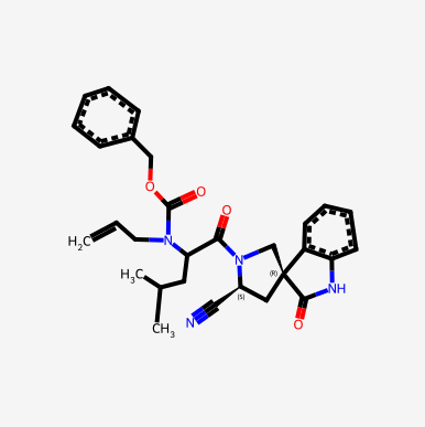 C=CCN(C(=O)OCc1ccccc1)C(CC(C)C)C(=O)N1C[C@]2(C[C@H]1C#N)C(=O)Nc1ccccc12